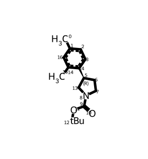 Cc1ccc([C@H]2CCN(C(=O)OC(C)(C)C)C2)c(C)c1